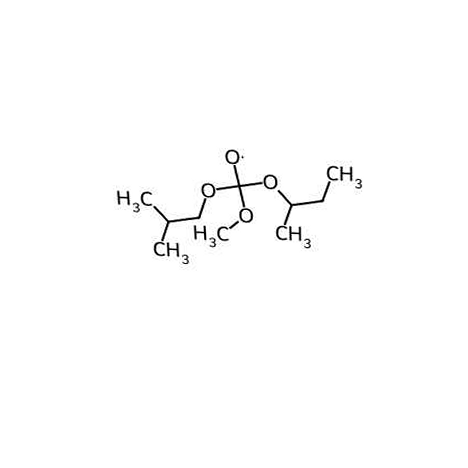 CCC(C)OC([O])(OC)OCC(C)C